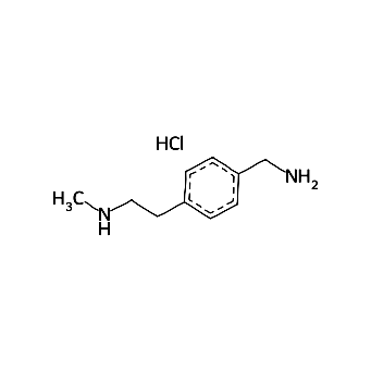 CNCCc1ccc(CN)cc1.Cl